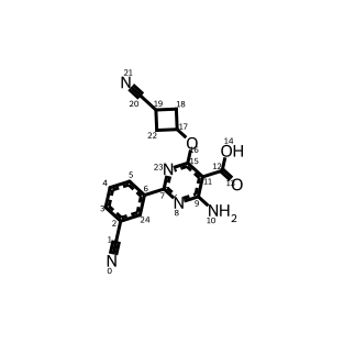 N#Cc1cccc(-c2nc(N)c(C(=O)O)c(OC3CC(C#N)C3)n2)c1